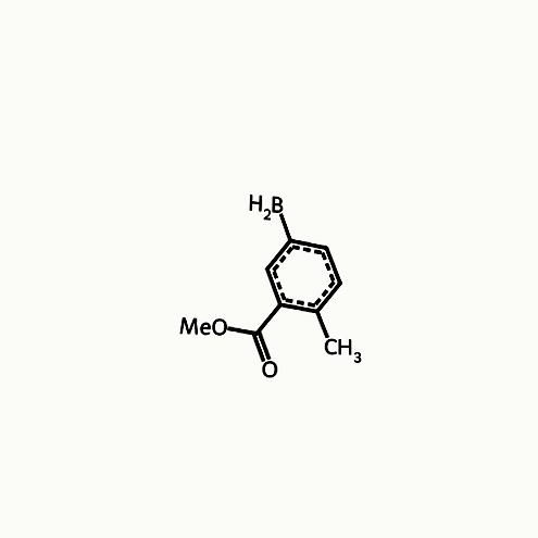 Bc1ccc(C)c(C(=O)OC)c1